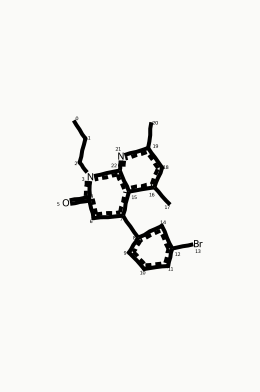 CCCn1c(=O)cc(-c2cccc(Br)c2)c2c(C)cc(C)nc21